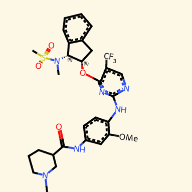 COc1cc(NC(=O)C2CCCN(C)C2)ccc1Nc1ncc(C(F)(F)F)c(O[C@@H]2Cc3ccccc3[C@H]2N(C)S(C)(=O)=O)n1